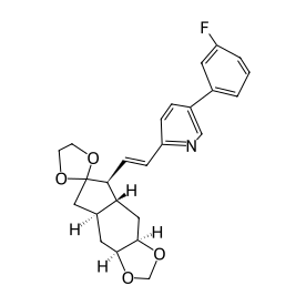 Fc1cccc(-c2ccc(/C=C/[C@H]3[C@@H]4C[C@H]5OCO[C@H]5C[C@H]4CC34OCCO4)nc2)c1